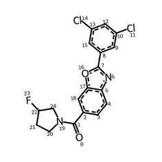 O=C(c1ccc2nc(-c3cc(Cl)cc(Cl)c3)oc2c1)N1CCC(F)C1